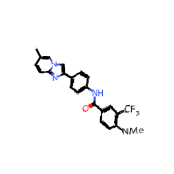 CNc1ccc(C(=O)Nc2ccc(-c3cn4cc(C)ccc4n3)cc2)cc1C(F)(F)F